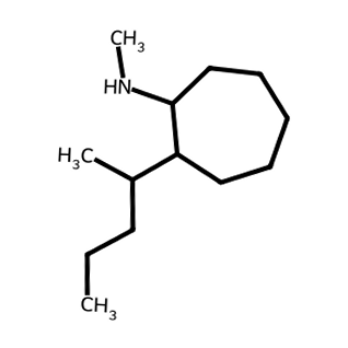 CCCC(C)C1CCCCCC1NC